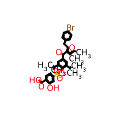 Cc1oc(Cc2ccc(Br)cc2)c(C(=O)c2cc(C(C)C)c(OS(=O)(=O)c3ccc(C(=O)O)c(O)c3)c(C(C)C)c2)c1C